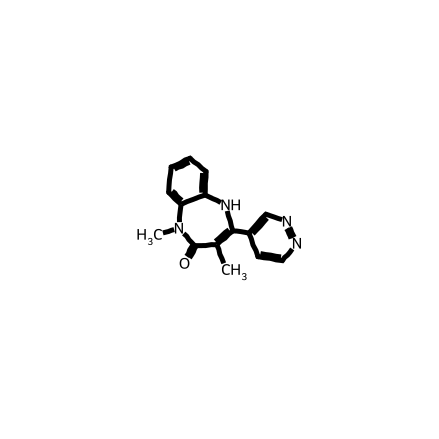 CC1=C(c2ccnnc2)Nc2ccccc2N(C)C1=O